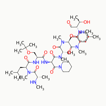 CN[C@@H](C)C(=O)N(C)[C@@H](CC(C)C)C(=O)N[C@@H](COC(C)(C)C)C(=O)N[C@H](C(=O)N1CCCCC1)C(=O)N(C)[C@@H](C)C(=O)N(C)[C@@H](Cc1ccccc1)C(=O)N(C)[C@@H](CC(C)C)C(=O)N[C@H](C=O)[C@@H](C)O